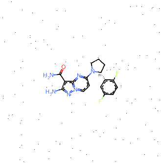 NC(=O)c1c(N)nn2ccc(N3CCC[C@@H]3c3cc(F)ccc3F)nc12